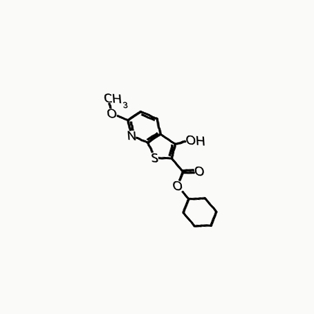 COc1ccc2c(O)c(C(=O)OC3CCCCC3)sc2n1